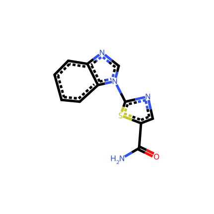 NC(=O)c1cnc(-n2cnc3ccccc32)s1